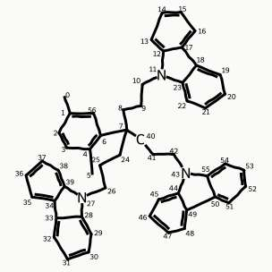 Cc1ccc(C)c(C(CCCn2c3ccccc3c3ccccc32)(CCCn2c3ccccc3c3ccccc32)CCCn2c3ccccc3c3ccccc32)c1